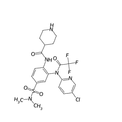 CN(C)S(=O)(=O)c1ccc(NC(=O)C2CCNCC2)c(N(C(=O)C(F)(F)F)c2ccc(Cl)cn2)c1